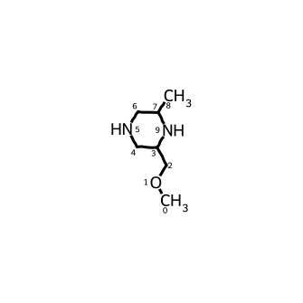 COCC1CNCC(C)N1